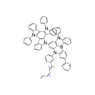 C=C/C=C\C=C(/C)c1cccc(N2c3cc(-c4ccccc4)ccc3B3c4ccccc4N(c4ccccc4)c4cc(-n5c6ccccc6c6c7c(c8ccccc8n7-c7ccccc7)c7c(c8ccccc8n7-c7ccccc7)c65)cc2c43)c1